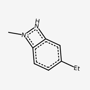 CCc1ccc2c(c1)[nH]n2C